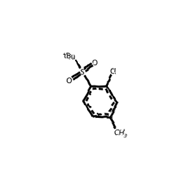 Cc1ccc(S(=O)(=O)C(C)(C)C)c(Cl)c1